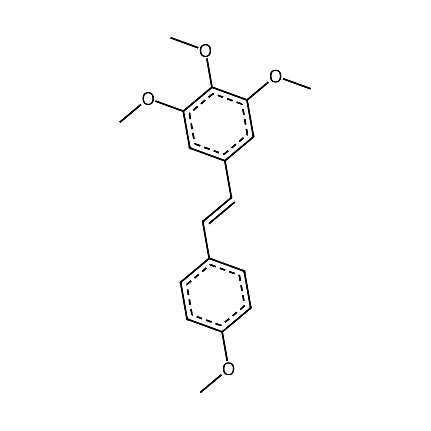 COc1ccc(C=Cc2cc(OC)c(OC)c(OC)c2)cc1